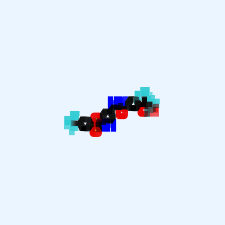 O=C(Cc1ccc(NS(=O)(=O)c2ccc(C(F)(F)F)cc2)cc1)Nc1ccc(C(O)(C(F)(F)F)C(F)(F)F)cc1